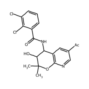 CC(=O)c1cnc2c(c1)C(NC(=O)c1cccc(Cl)c1Cl)C(O)C(C)(C)O2